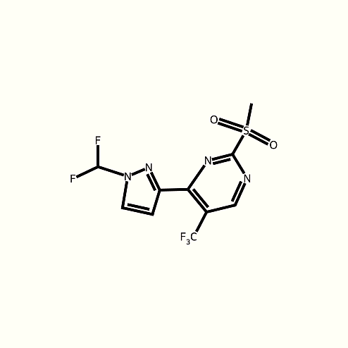 CS(=O)(=O)c1ncc(C(F)(F)F)c(-c2ccn(C(F)F)n2)n1